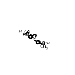 COC(C)c1ccc(CN2CCCc3cc(NC(C)=O)ccc32)cc1